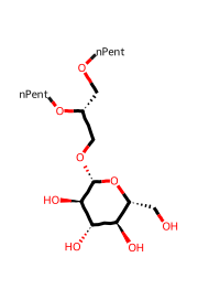 CCCCCOC[C@H](CO[C@@H]1O[C@H](CO)[C@@H](O)[C@H](O)[C@H]1O)OCCCCC